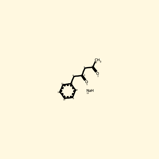 CC(=O)CC(=O)Cc1ccccc1.[NaH]